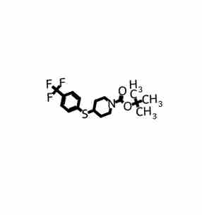 CC(C)(C)OC(=O)N1CCC(Sc2ccc(C(F)(F)F)cc2)CC1